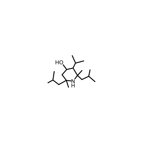 CC(C)CC1(C)CC(O)C(C(C)C)C(C)(CC(C)C)N1